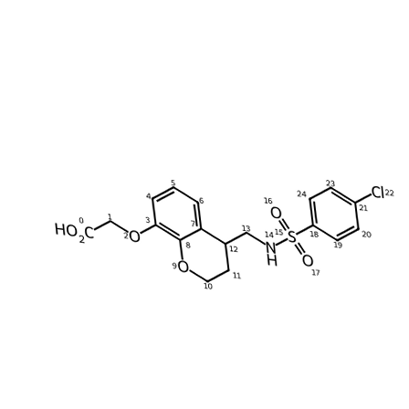 O=C(O)COc1cccc2c1OCCC2CNS(=O)(=O)c1ccc(Cl)cc1